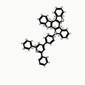 c1ccc(-c2cc(-c3ccc(-n4c5ccccc5c5c6oc7ccccc7c6c6c7ccccc7sc6c54)cc3)cc(-c3ccccc3)n2)cc1